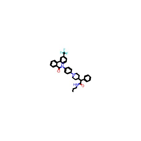 CCCNC(=O)C(c1ccccc1)C1CCN(c2ccc(NC(=O)c3ccccc3-c3cccc(C(F)(F)F)c3)cc2)CC1